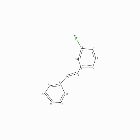 Fc1cccc(/C=C/c2cc[c]cc2)c1